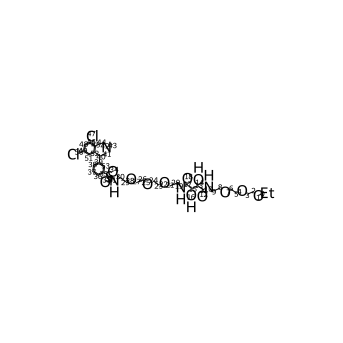 CCOCCOCCOCCNC(=O)C(O)C(O)C(=O)NCCOCCOCCOCCNS(=O)(=O)c1cccc(C2CN(C)Cc3c(Cl)cc(Cl)cc32)c1